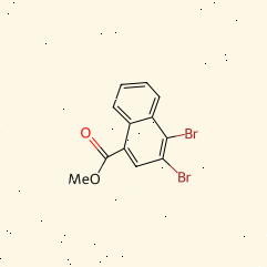 COC(=O)c1cc(Br)c(Br)c2ccccc12